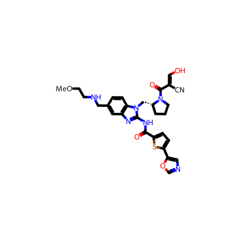 COCCNCc1ccc2c(c1)nc(NC(=O)c1ccc(-c3cnco3)s1)n2C[C@H]1CCCN1C(=O)/C(C#N)=C/O